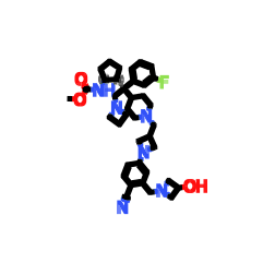 COC(=O)N[C@H]1CCC[C@@H]1C(CN1CCC1)(c1cccc(F)c1)C1CCN(CC2CN(c3ccc(C#N)c(CN4CC(O)C4)c3)C2)CC1